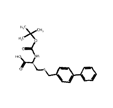 CC(C)(C)OC(=O)N[C@@H](CSCc1ccc(-c2ccccc2)cc1)C(=O)O